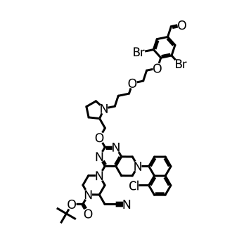 CC(C)(C)OC(=O)N1CCN(c2nc(OCC3CCCN3CCCOCCOc3c(Br)cc(C=O)cc3Br)nc3c2CCN(c2cccc4cccc(Cl)c24)C3)CC1CC#N